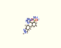 Cn1cc2cc(-c3cccc(S(N)(=O)=O)c3-c3nnn[nH]3)ccc2n1